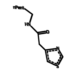 CCCCCCNC(=O)Cc1cscn1